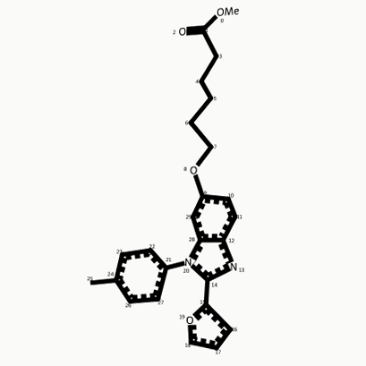 COC(=O)CCCCCOc1ccc2nc(-c3ccco3)n(-c3ccc(C)cc3)c2c1